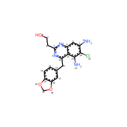 Nc1cc2nc(CCO)nc(Cc3ccc4c(c3)OCO4)c2c(N)c1Cl